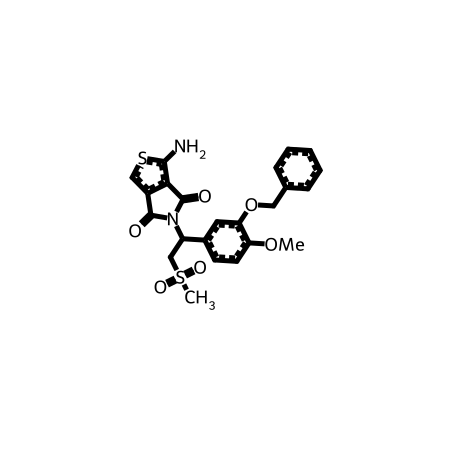 COc1ccc(C(CS(C)(=O)=O)N2C(=O)c3csc(N)c3C2=O)cc1OCc1ccccc1